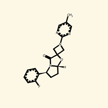 Cc1cnc(N2CC3(C2)O[C@@H]2CC[C@@H](c4ccccc4F)N2C3=O)nc1